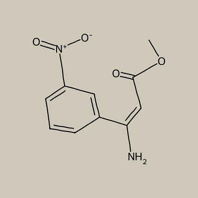 COC(=O)/C=C(/N)c1cccc([N+](=O)[O-])c1